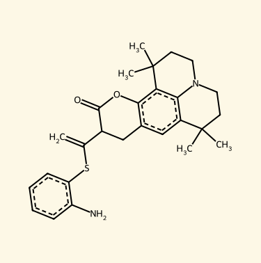 C=C(Sc1ccccc1N)C1Cc2cc3c4c(c2OC1=O)C(C)(C)CCN4CCC3(C)C